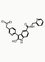 CCN(CC)Cc1ccc(-c2c(O)[nH]c3ccc(C(=O)NCc4ccccn4)cc23)nc1